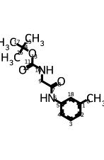 Cc1cccc(NC(=O)CNC(=O)OC(C)(C)C)c1